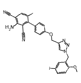 COc1ccc(I)cc1Cn1cc(COc2ccc(-c3c(C)cc(C#N)c(N)c3C#N)cc2)nn1